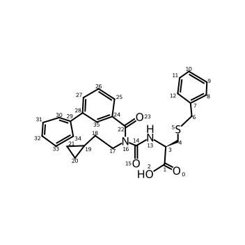 O=C(O)[C@H](CSCc1ccccc1)NC(=O)N(CCC1CC1)C(=O)c1cccc(-c2ccccc2)c1